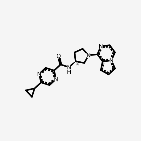 O=C(N[C@H]1CCN(c2nccn3cccc23)C1)c1cnc(C2CC2)cn1